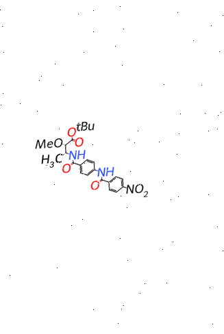 CO[C@H](C(=O)OC(C)(C)C)[C@@H](C)NC(=O)c1ccc(NC(=O)c2ccc([N+](=O)[O-])cc2)cc1